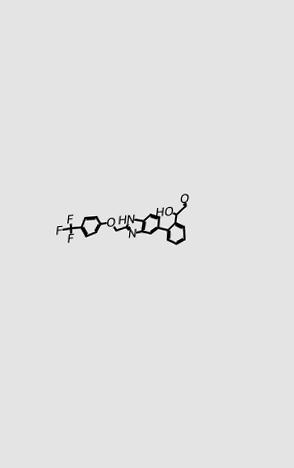 O=CC(O)c1ccccc1-c1ccc2[nH]c(COc3ccc(C(F)(F)F)cc3)nc2c1